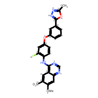 COc1cc2ncnc(Nc3ccc(Oc4cccc(-c5nnc(C)o5)c4)cc3F)c2cc1[N+](=O)[O-]